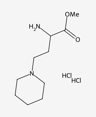 COC(=O)C(N)CCN1CCCCC1.Cl.Cl